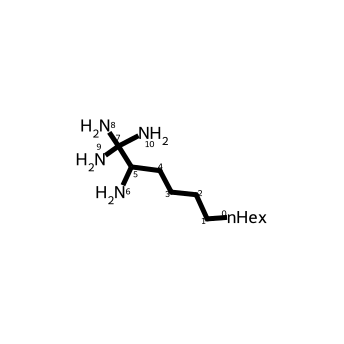 CCCCCCCCCCC(N)C(N)(N)N